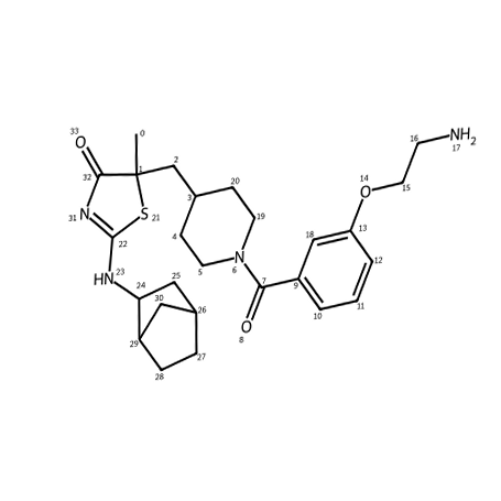 CC1(CC2CCN(C(=O)c3cccc(OCCN)c3)CC2)SC(NC2CC3CCC2C3)=NC1=O